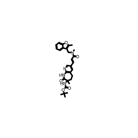 Cc1oc2ccccc2c1CN(C)C(=O)/C=C/c1cnc2c(c1)CCC(C)(NC(=O)OC(C)(C)C)C(=O)N2